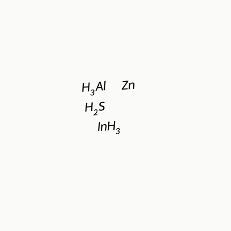 S.[AlH3].[InH3].[Zn]